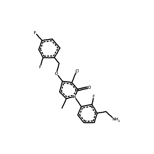 Cc1cc(OCc2ccc(F)cc2F)c(Cl)c(=O)n1-c1cccc(CN)c1F